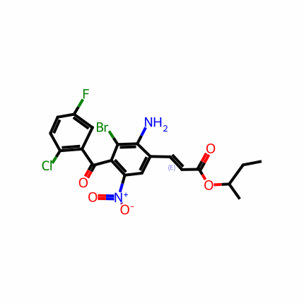 CCC(C)OC(=O)/C=C/c1cc([N+](=O)[O-])c(C(=O)c2cc(F)ccc2Cl)c(Br)c1N